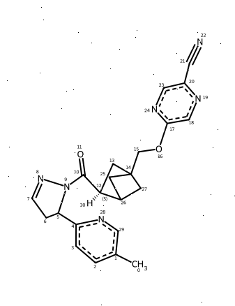 Cc1ccc(C2CC=NN2C(=O)[C@H]2CC3(COc4cnc(C#N)cn4)CC2C3)nc1